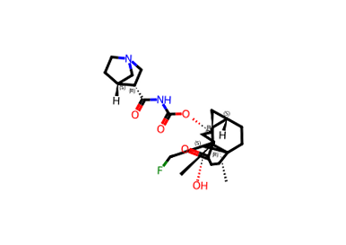 C[C@H]1[C@H](O)[C@](C)(CF)C[C@@H](OC(=O)NC(=O)[C@H]2CN3CC[C@@H]2C3)[C@]23C[C@@H]2CCC12CCC(=O)C23